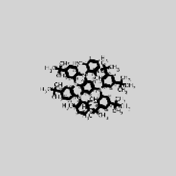 Cc1cccc(C)c1N1c2ccc(C(C)(C)C)cc2B2c3cc(C(C)(C)C)ccc3N(c3c(C)cccc3C)c3cc(N(c4cc(C(C)(C)C)cc(C(C)(C)C)c4)c4cc(C(C)(C)C)cc(C(C)(C)C)c4)cc1c32